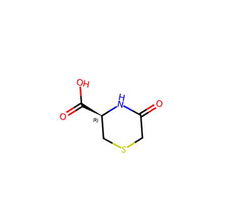 O=C1CSC[C@@H](C(=O)O)N1